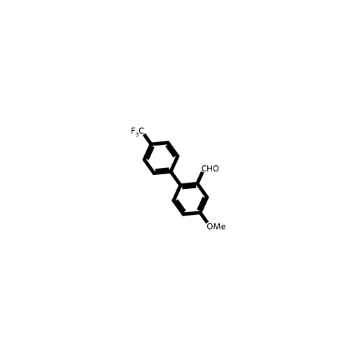 COc1ccc(-c2ccc(C(F)(F)F)cc2)c(C=O)c1